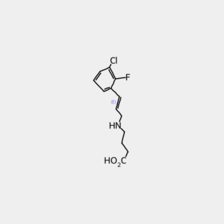 O=C(O)CCCNC/C=C/c1cccc(Cl)c1F